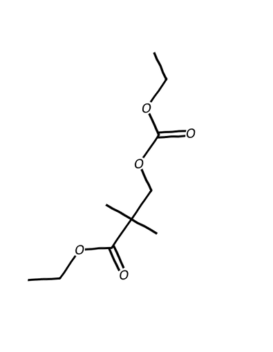 CCOC(=O)OCC(C)(C)C(=O)OCC